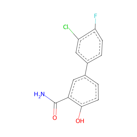 NC(=O)c1cc(-c2ccc(F)c(Cl)c2)ccc1O